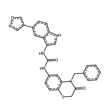 O=C(Nc1ccc2c(c1)N(Cc1ccccc1)C(=O)CS2)Nc1c[nH]c2ccc(-c3cnoc3)cc12